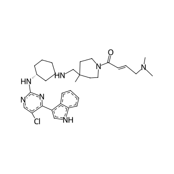 CN(C)C/C=C/C(=O)N1CCC(C)(CN[C@H]2CCC[C@@H](Nc3ncc(Cl)c(-c4c[nH]c5ccccc45)n3)C2)CC1